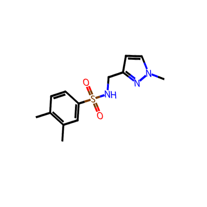 Cc1ccc(S(=O)(=O)NCc2ccn(C)n2)cc1C